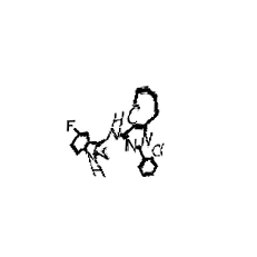 Fc1ccc2[nH]nc(Nc3nc(-c4ccccc4Cl)nc4c3CCCCC4)c2c1